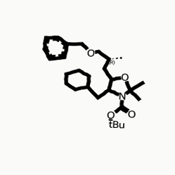 C[C@@H](COCc1ccccc1)CC1OC(C)(C)N(C(=O)OC(C)(C)C)C1CC1CCCCC1